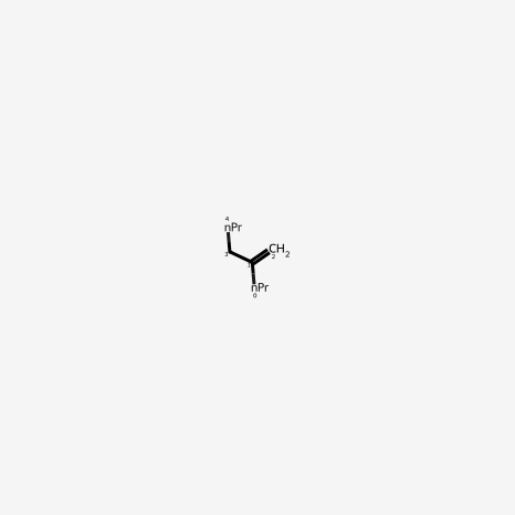 [CH2]CCC(=C)CCCC